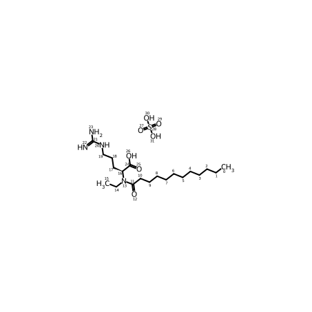 CCCCCCCCCCCC(=O)N(CC)[C@@H](CCCNC(=N)N)C(=O)O.O=S(=O)(O)O